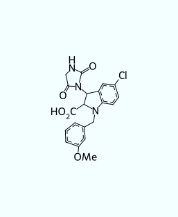 COc1cccc(CN2c3ccc(Cl)cc3C(N3C(=O)CNC3=O)C2C(=O)O)c1